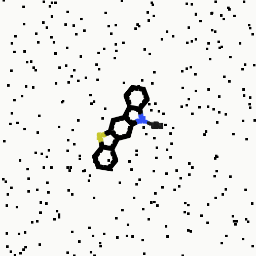 CC(C)(C)n1c2ccccc2c2cc3sc4ccccc4c3cc21